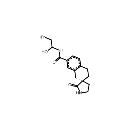 CC(C)CC(O)NC(=O)c1ccc2c(c1)C[C@@]1(CCNC1=O)CC2